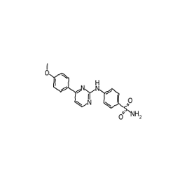 COc1ccc(-c2ccnc(Nc3ccc(S(N)(=O)=O)cc3)n2)cc1